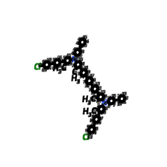 Cc1cc(N(c2ccc(-c3ccccc3)cc2)c2ccc(-c3ccc(-c4ccc(-c5ccc(-c6ccc(N(c7ccc(-c8ccccc8)cc7)c7ccc(-c8ccc(-c9ccc(Cl)cc9)cc8)c(C)c7)cc6C)cc5)cc4)cc3)c(C)c2)ccc1-c1ccc(-c2ccc(Cl)cc2)cc1